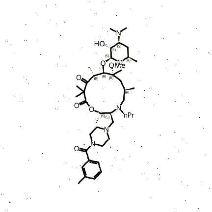 CCCN1C[C@H](C)C[C@@](C)(OC)[C@H](O[C@@H]2O[C@H](C)C[C@H](N(C)C)[C@H]2O)[C@@H](C)C(=O)C(C)(C)C(=O)O[C@@H](C)[C@@H]1CN1CCN(C(=O)c2cccc(C)c2)CC1